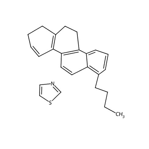 CCCCc1cccc2c3c(ccc12)C1=C(CCC=C1)CC3.c1cscn1